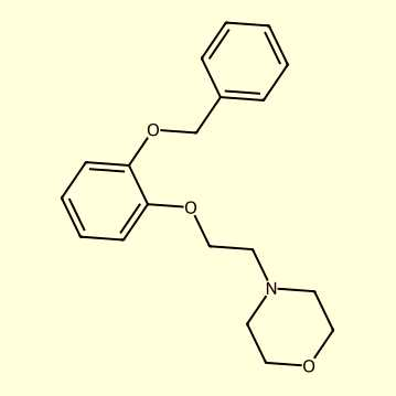 c1ccc(COc2ccccc2OCCN2CCOCC2)cc1